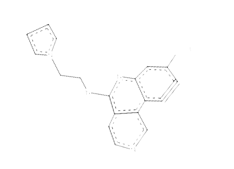 O=C(O)c1c#cc2c(c1)nc(NCCn1cccc1)c1ccncc12